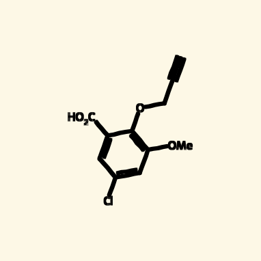 C#CCOc1c(OC)cc(Cl)cc1C(=O)O